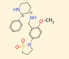 COc1ccc(N2CCCS2(=O)=O)cc1CN[C@H]1CCCN[C@H]1c1ccccc1